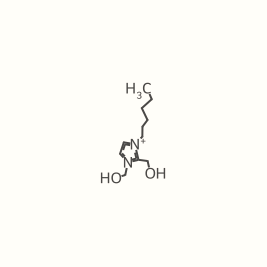 CCCCCC[n+]1ccn(CO)c1CO